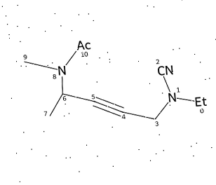 CCN(C#N)CC#CC(C)N(C)C(C)=O